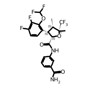 C[C@H]1[C@@H](c2ccc(F)c(F)c2OC(F)F)[C@@H](C(=O)Nc2cccc(C(N)=O)c2)O[C@@]1(C)C(F)(F)F